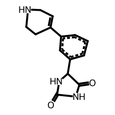 O=C1NC(=O)C(c2cccc(C3=CCNCC3)c2)N1